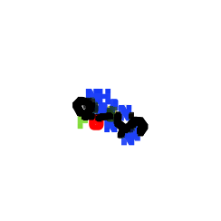 CN(C)c1sc(C(=O)N[C@@H]2[C@@H](N)CCCC2(C)F)nc1-c1cnn2ccccc12